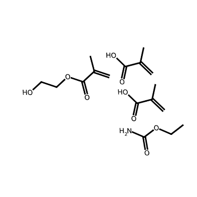 C=C(C)C(=O)O.C=C(C)C(=O)O.C=C(C)C(=O)OCCO.CCOC(N)=O